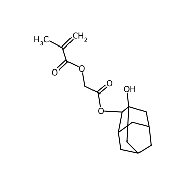 C=C(C)C(=O)OCC(=O)OC1C2CC3CC(C2)CC1(O)C3